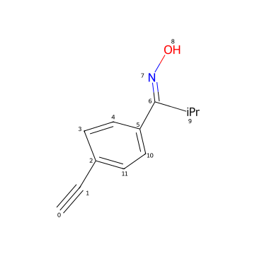 C#Cc1ccc(C(=NO)C(C)C)cc1